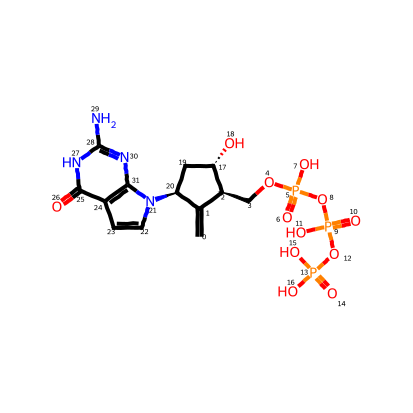 C=C1[C@H](COP(=O)(O)OP(=O)(O)OP(=O)(O)O)[C@@H](O)C[C@@H]1n1ccc2c(=O)[nH]c(N)nc21